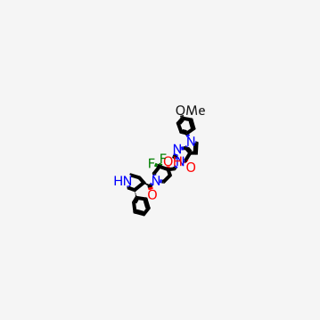 COc1ccc(-n2ccc3c(=O)n(CC4(O)CCN(C(=O)[C@@H]5CCNC[C@H]5c5ccccc5)CC4(F)F)cnc32)cc1